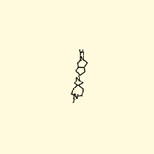 CN1CCC2(CC1)CN(C1CC3CNCC3C1)C2